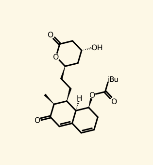 CCC(C)C(=O)O[C@H]1CC=CC2=CC(=O)[C@@H](C)[C@@H](CC[C@@H]3C[C@@H](O)CC(=O)O3)[C@H]21